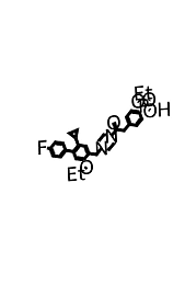 CCOc1cc(-c2ccc(F)cc2)c(C2CC2)cc1CN1CCN(C(=O)Cc2ccc(P(=O)(O)OCC)cc2)CC1